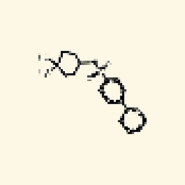 CC1(O)CCC(NS(=O)(=O)c2ccc(-c3ccccn3)cc2)CC1